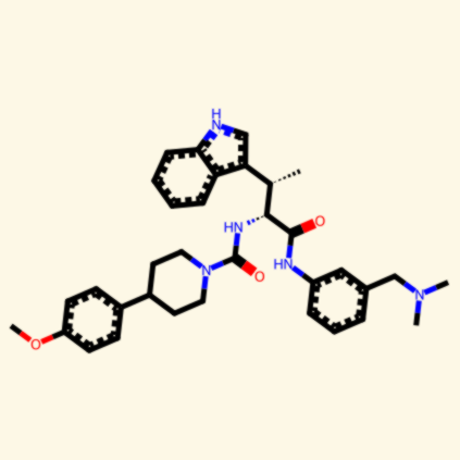 COc1ccc(C2CCN(C(=O)N[C@@H](C(=O)Nc3cccc(CN(C)C)c3)[C@@H](C)c3c[nH]c4ccccc34)CC2)cc1